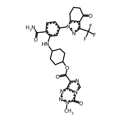 Cn1nnc2c(C(=O)OC3CCC(Nc4cc(-n5nc(C(F)(F)F)c6c5CCCC6=O)ccc4C(N)=O)CC3)ncn2c1=O